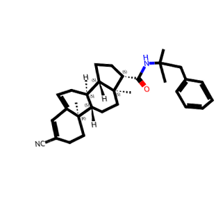 CC(C)(Cc1ccccc1)NC(=O)[C@H]1CC[C@H]2[C@@H]3CC=C4C=C(C#N)CC[C@]4(C)[C@H]3CC[C@]12C